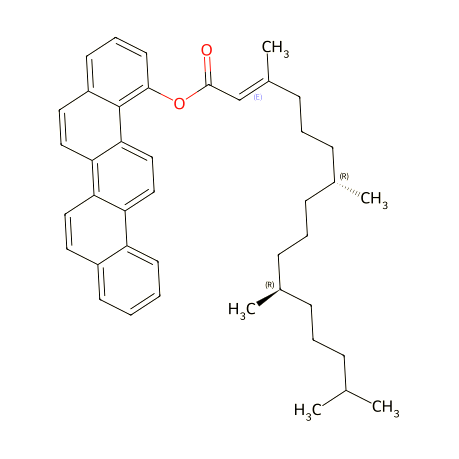 C/C(=C\C(=O)Oc1cccc2ccc3c4ccc5ccccc5c4ccc3c12)CCC[C@H](C)CCC[C@H](C)CCCC(C)C